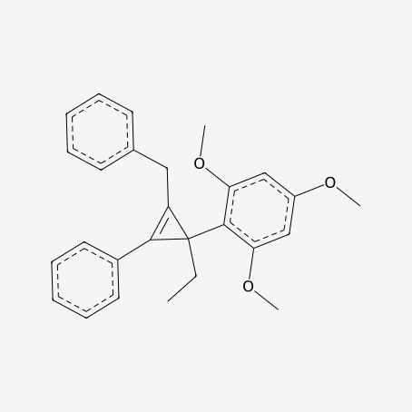 CCC1(c2c(OC)cc(OC)cc2OC)C(Cc2ccccc2)=C1c1ccccc1